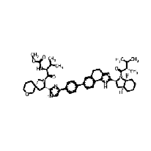 COC(=O)N[C@H](C(=O)N1C[C@]2(CCCOC2)C[C@H]1c1nc(-c2ccc(-c3ccc4c(c3)CCc3nc([C@@H]5C[C@@H]6CCCC[C@@H]6N5C(=O)[C@@H](C)C(C)C)[nH]c3-4)cc2)c[nH]1)C(C)C